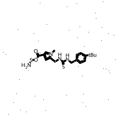 Cn1cc(C(=O)OSN)cc1CNC(=S)NCc1ccc(C(C)(C)C)cc1